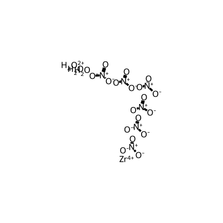 O.O.O=[N+]([O-])[O-].O=[N+]([O-])[O-].O=[N+]([O-])[O-].O=[N+]([O-])[O-].O=[N+]([O-])[O-].O=[N+]([O-])[O-].[OH4+2].[Zr+4]